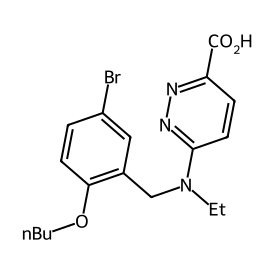 CCCCOc1ccc(Br)cc1CN(CC)c1ccc(C(=O)O)nn1